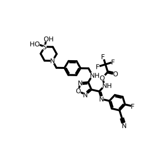 N#Cc1cc(N=C(NOC(=O)C(F)(F)F)c2nonc2NCc2ccc(CN3CCS(O)(O)CC3)cc2)ccc1F